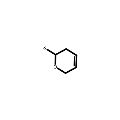 [S]C1CC=CCO1